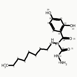 CCCCCCCCNN(C(=O)NN)C(=O)c1ccc(O)cc1O